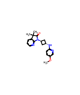 COc1ccc(N[C@H]2C[C@H](N3C(=O)C(C)(C)c4cccnc43)C2)nc1